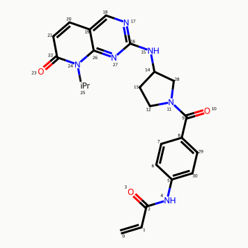 C=CC(=O)Nc1ccc(C(=O)N2CCC(Nc3ncc4ccc(=O)n(C(C)C)c4n3)C2)cc1